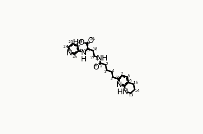 O=C(CCCCc1ccc2c(n1)NCCC2)NCCC(Nc1cccnc1)C(=O)O